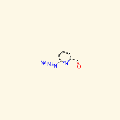 [N-]=[N+]=Nc1cccc(C=O)n1